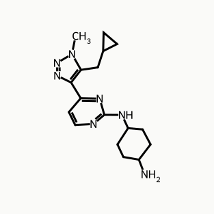 Cn1nnc(-c2ccnc(NC3CCC(N)CC3)n2)c1CC1CC1